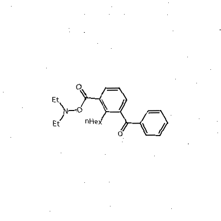 CCCCCCc1c(C(=O)ON(CC)CC)cccc1C(=O)c1ccccc1